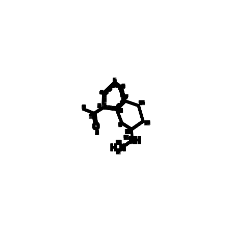 CC(=O)c1cccc2c1CC(NN)CC2